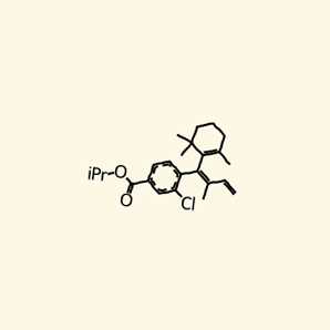 C=C/C(C)=C(\C1=C(C)CCCC1(C)C)c1ccc(C(=O)OC(C)C)cc1Cl